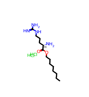 CCCCCCCCOC(=O)[C@@H](N)CCCNC(=N)N.Cl.Cl